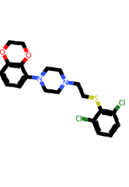 Clc1cccc(Cl)c1SCCN1CCN(c2cccc3c2OCCO3)CC1